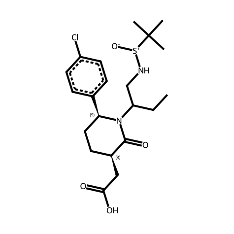 CCC(CN[S+]([O-])C(C)(C)C)N1C(=O)[C@@H](CC(=O)O)CC[C@H]1c1ccc(Cl)cc1